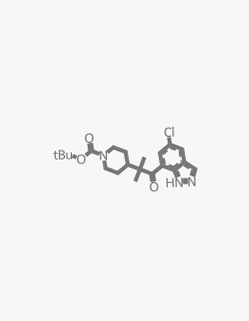 CC(C)(C)OC(=O)N1CCC(C(C)(C)C(=O)c2cc(Cl)cc3cn[nH]c23)CC1